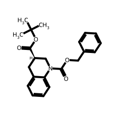 CC(C)(C)OC(=O)[C@@H]1Cc2ccccc2N(C(=O)OCc2ccccc2)C1